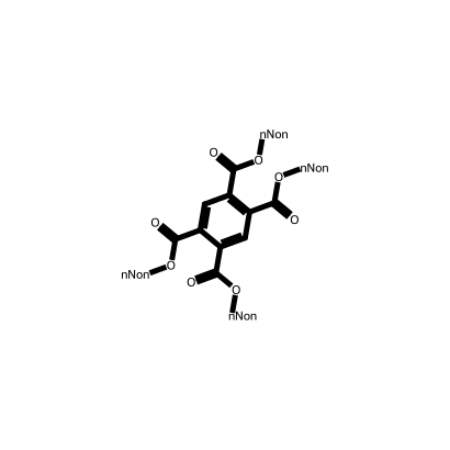 CCCCCCCCCOC(=O)c1cc(C(=O)OCCCCCCCCC)c(C(=O)OCCCCCCCCC)cc1C(=O)OCCCCCCCCC